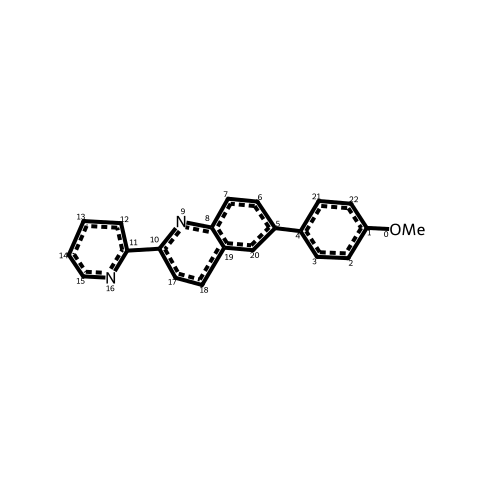 COc1ccc(-c2ccc3nc(-c4ccccn4)ccc3c2)cc1